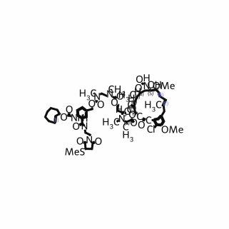 COc1cc2cc(c1Cl)CC(=O)C[C@H](OC(=O)[C@H](C)N(C)C(=O)CCOC(=O)N(C)CCN(C)C(=O)OCc1ccc(NC(=O)OC3/C=C/CCCCC3)c(C(=O)NCCN3C(=O)CC(SC)C3=O)c1)[C@]1(C)O[C@H]1[C@H](C)[C@@H]1C[C@@](O)(NC(=O)O1)[C@H](OC)/C=C/C=C(\C)C2